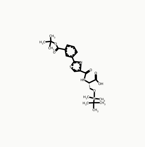 CC(C)(C)OC(=O)c1cccc(-c2nc(C(=O)N[C@@H](CO[Si](C)(C)C(C)(C)C)C(=O)O)cs2)c1